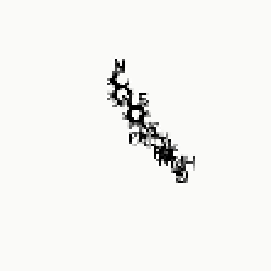 N#CC=C1CCN(c2ccc(N3C[C@@H](Cn4cc(NC=O)nn4)OC3=O)cc2F)CC1